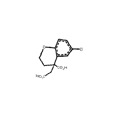 O=C(O)CC1(C(=O)O)CCOc2ccc(Cl)cc21